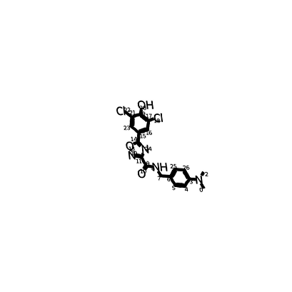 CN(C)c1ccc(CNC(=O)c2noc(-c3cc(Cl)c(O)c(Cl)c3)n2)cc1